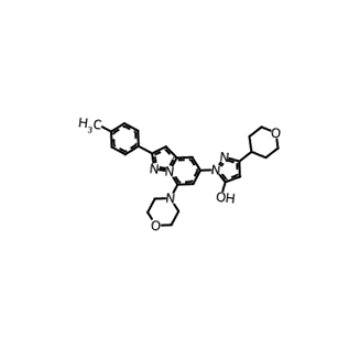 Cc1ccc(-c2cc3cc(-n4nc(C5CCOCC5)cc4O)cc(N4CCOCC4)n3n2)cc1